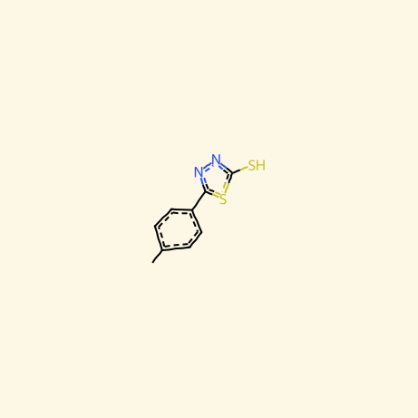 Cc1ccc(-c2nnc(S)s2)cc1